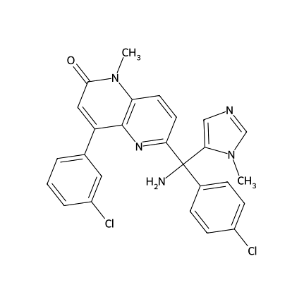 Cn1cncc1C(N)(c1ccc(Cl)cc1)c1ccc2c(n1)c(-c1cccc(Cl)c1)cc(=O)n2C